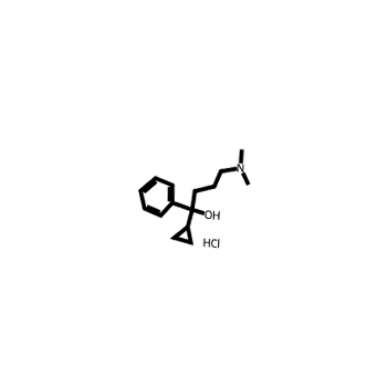 CN(C)CCCC(O)(c1ccccc1)C1CC1.Cl